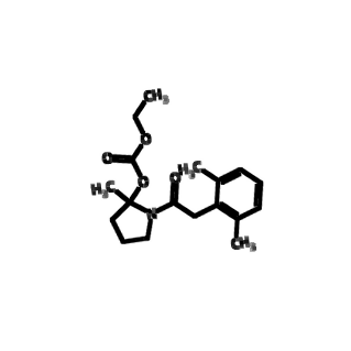 CCOC(=O)OC1(C)CCCN1C(=O)Cc1c(C)cccc1C